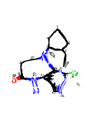 CC1CCCC1N1CCC(=O)Nc2cnc(Cl)nc21